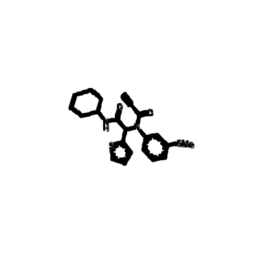 C#CC(=O)N(c1cccc(SC)c1)C(C(=O)NC1CCCCC1)c1cccs1